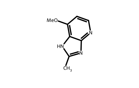 COc1ccnc2nc(C)[nH]c12